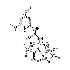 COc1cc(OC)nc(NC(=O)NS(=O)(=O)c2c([Si](C)(C)C)ccc3c2S(=O)(=O)C(C)C3)n1